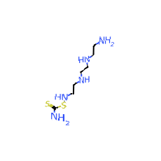 NCCNCCNCCNSC(N)=S